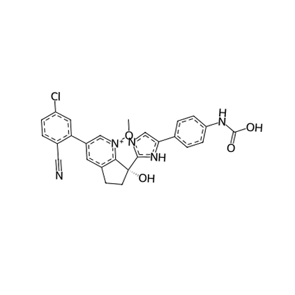 CO[n+]1cc(-c2cc(Cl)ccc2C#N)cc2c1[C@@](O)(c1ncc(-c3ccc(NC(=O)O)cc3)[nH]1)CC2